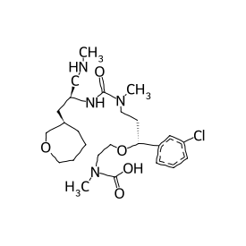 CNC[C@H](C[C@H]1CCCCOC1)NC(=O)N(C)CC[C@@H](OCCN(C)C(=O)O)c1cccc(Cl)c1